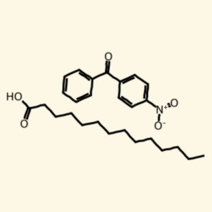 CCCCCCCCCCCCCC(=O)O.O=C(c1ccccc1)c1ccc([N+](=O)[O-])cc1